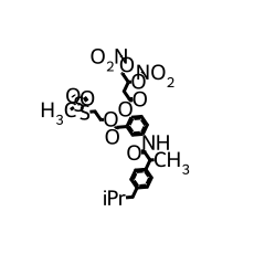 CC(C)Cc1ccc(C(C)C(=O)Nc2ccc(OC(=O)CC(CO[N+](=O)[O-])O[N+](=O)[O-])c(C(=O)OCCSS(C)(=O)=O)c2)cc1